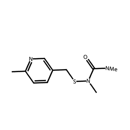 CNC(=O)N(C)SCc1ccc(C)nc1